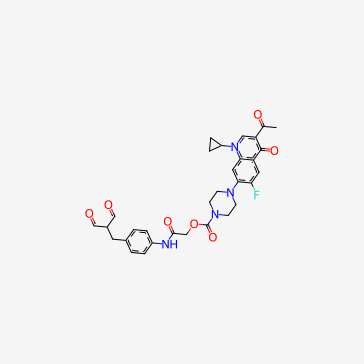 CC(=O)c1cn(C2CC2)c2cc(N3CCN(C(=O)OCC(=O)Nc4ccc(CC(C=O)C=O)cc4)CC3)c(F)cc2c1=O